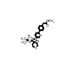 COC(=O)Cc1ccc(-c2ccc(S(=O)(=O)C3(C(=O)OC(C)(C)C)CCOCC3)cn2)cc1